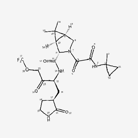 CC1(NC(=O)C(=O)N2C[C@H]3[C@@H]([C@H]2C(=O)N[C@@H](C[C@@H]2CCNC2=O)C(=O)COC(F)(F)F)C3(C)C)CC1